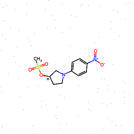 CS(=O)(=O)O[C@@H]1CCN(c2ccc([N+](=O)[O-])cc2)C1